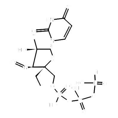 O=N[C@@H]1[C@@](CF)(COP(=O)(O)OP(=O)(O)OP(=O)(O)O)O[C@@H](n2ccc(=O)[nH]c2=O)[C@@]1(O)F